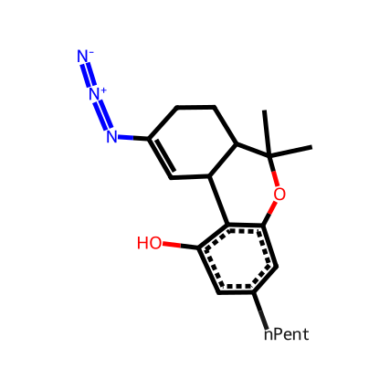 CCCCCc1cc(O)c2c(c1)OC(C)(C)C1CCC(N=[N+]=[N-])=CC21